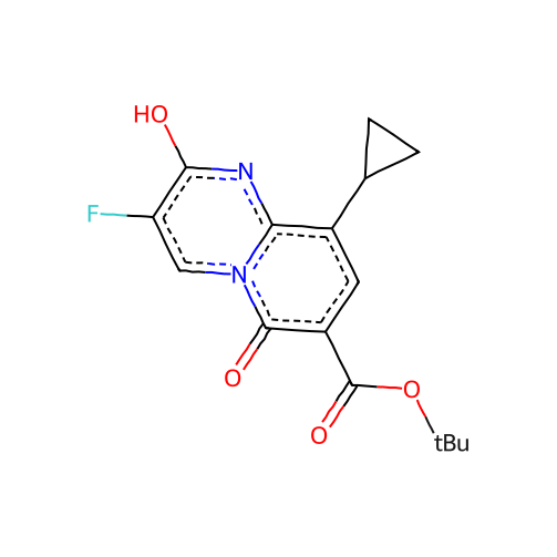 CC(C)(C)OC(=O)c1cc(C2CC2)c2nc(O)c(F)cn2c1=O